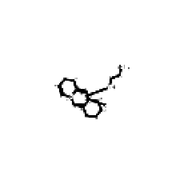 CC1C(NCCN)OC2=C3CCC=CN3C=C3CCCCC321